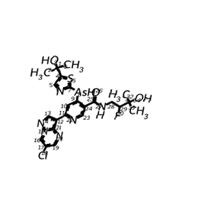 CC(C)(O)c1cnc([AsH]c2cc(-c3cnn4cc(Cl)cnc34)ncc2C(=O)NCC(F)C(C)(C)O)s1